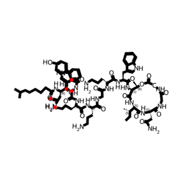 CC[C@H](C)[C@@H]1NC(=O)[C@@H](NC(=O)[C@H](Cc2c[nH]c3ccccc23)NC(=O)[C@@H](CCCN)NC(=O)CNC(=O)[C@H](CCCN)NC(=O)[C@@H](CCCN)NC(=O)[C@@H](Cc2c[nH]c3ccccc23)NC(=O)[C@@H](Cc2ccc(O)cc2)NC(=O)[C@@H](CC(N)=O)NC(=O)CCCCCC(C)C)[C@@H](C)OC(=O)CNC(=O)CNC(=O)[C@H](CC(N)=O)NC1=O